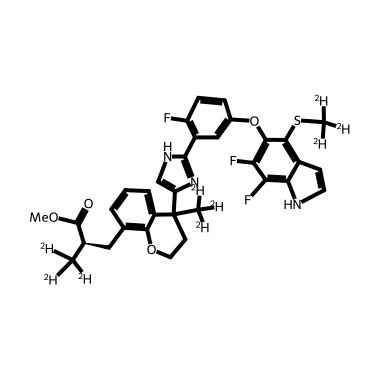 [2H]C([2H])([2H])Sc1c(Oc2ccc(F)c(-c3nc(C4(C([2H])([2H])[2H])CCOc5c(C[C@H](C(=O)OC)C([2H])([2H])[2H])cccc54)c[nH]3)c2)c(F)c(F)c2[nH]ccc12